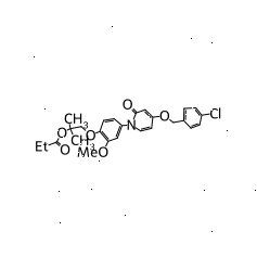 CCC(=O)OC(C)(C)COc1ccc(-n2ccc(OCc3ccc(Cl)cc3)cc2=O)cc1OC